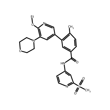 CCOc1ncc(-c2cc(C(=O)Nc3ccnc(S(C)(=O)=O)c3)ccc2C)cc1N1CCOCC1